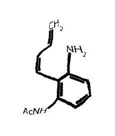 C=C/C=C\c1c(N)cccc1NC(C)=O